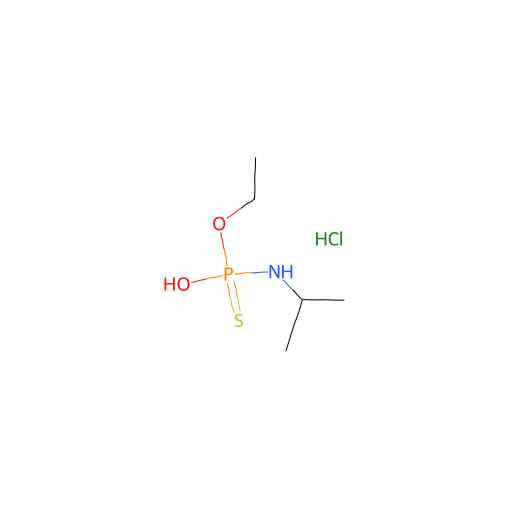 CCOP(O)(=S)NC(C)C.Cl